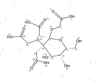 O=C(O)CO[C@@]1(CC(=O)O)O[C@H](CO)[C@H](O)[C@H](O)[C@@]1(CC(=O)O)OCC(=O)O